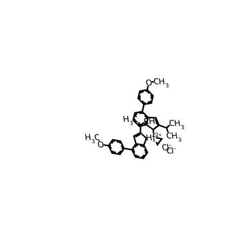 COc1ccc(-c2cccc3c2C=C(C(C)C)[CH]3[Hf+2]2([CH]3C(C(C)C)=Cc4c(-c5ccc(OC)cc5)cccc43)[CH2][CH2]2)cc1.[Cl-].[Cl-]